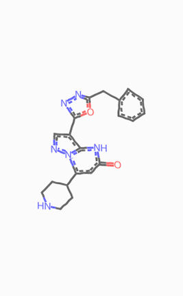 O=c1cc(C2CCNCC2)n2ncc(-c3nnc(Cc4ccccc4)o3)c2[nH]1